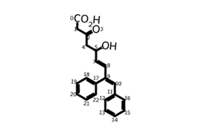 O=C(O)CC(=O)CC(O)/C=C/C(=C/c1ccccc1)c1ccccc1